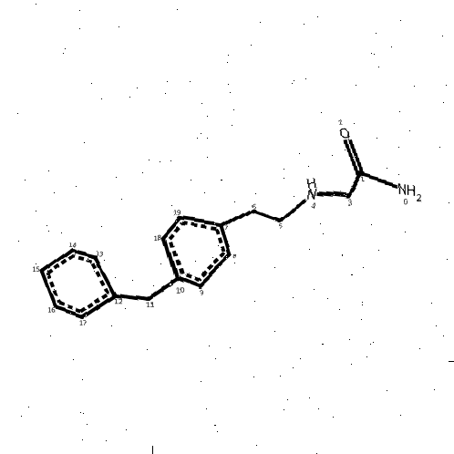 NC(=O)CNCCc1ccc(Cc2ccccc2)cc1